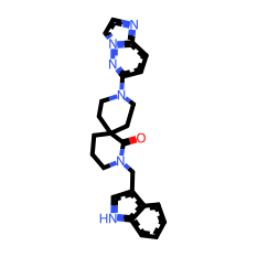 O=C1N(Cc2c[nH]c3ccccc23)CCCC12CCN(c1ccc3nccn3n1)CC2